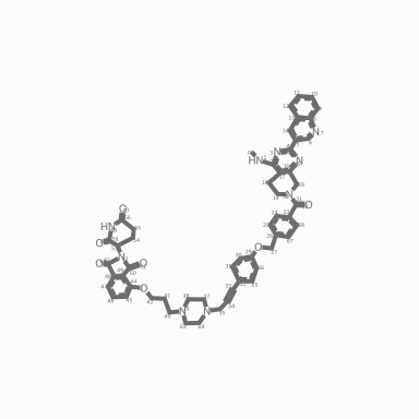 CNc1nc(-c2cnc3ccccc3c2)nc2c1CCN(C(=O)c1ccc(COc3ccc(C#CCN4CCN(CCCOc5cccc6c5C(=O)N(C5CCC(=O)NC5=O)C6=O)CC4)cc3)cc1)C2